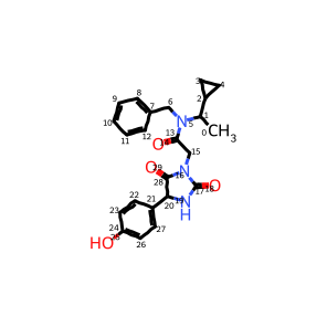 CC(C1CC1)N(Cc1ccccc1)C(=O)CN1C(=O)NC(c2ccc(O)cc2)C1=O